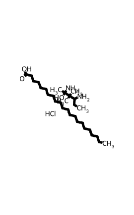 CCC(N)C(C)(C)C(C)(N)O.CCCCCCCCCCCCCCCCCCCCCC(=O)O.Cl